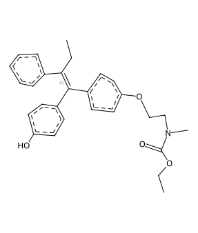 CCOC(=O)N(C)CCOc1ccc(/C(=C(\CC)c2ccccc2)c2ccc(O)cc2)cc1